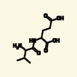 CC(C)C(N)C(=O)NC(CCC(=O)O)C(=O)O